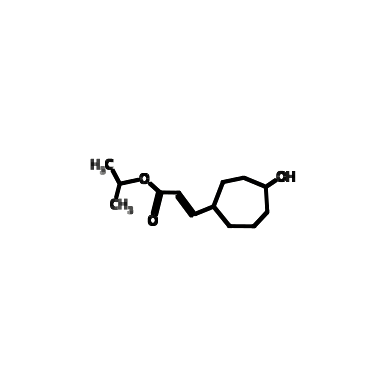 CC(C)OC(=O)C=CC1CCCC(O)CC1